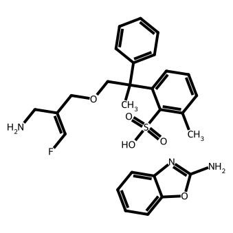 Cc1cccc(C(C)(COCC(=CF)CN)c2ccccc2)c1S(=O)(=O)O.Nc1nc2ccccc2o1